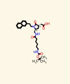 CC(C)(C)OC(=O)NCCCCCC(=O)NC[C@@H]1C[C@@H](CC(=O)O)C(=O)N1CCc1ccc2ccccc2c1